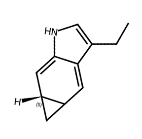 CCc1c[nH]c2c1=CC1C[C@@H]1C=2